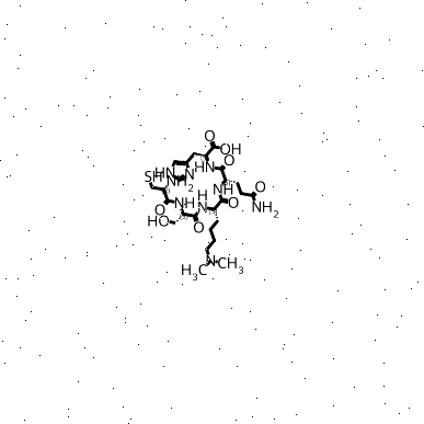 CN(C)CCCC[C@H](NC(=O)[C@H](CO)NC(=O)[C@@H](N)CS)C(=O)N[C@@H](CCC(N)=O)C(=O)N[C@@H](Cc1c[nH]cn1)C(=O)O